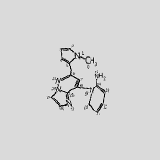 Cn1cccc1-c1cc(N2CC=CC=C2N)c2nccn2n1